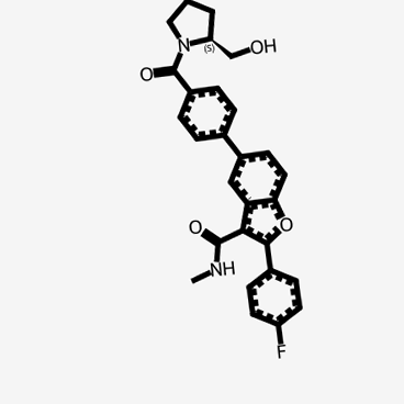 CNC(=O)c1c(-c2ccc(F)cc2)oc2ccc(-c3ccc(C(=O)N4CCC[C@H]4CO)cc3)cc12